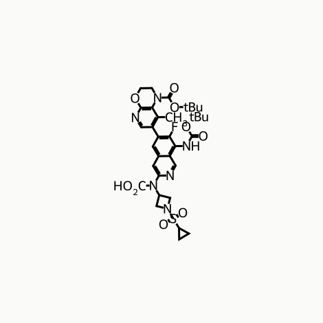 Cc1c(-c2cc3cc(N(C(=O)O)C4CN(S(=O)(=O)C5CC5)C4)ncc3c(NC(=O)OC(C)(C)C)c2F)cnc2c1N(C(=O)OC(C)(C)C)CCO2